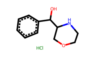 Cl.OC(c1ccccc1)C1COCCN1